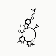 Cc1cc2cc(n1)-c1cnn(C)c1OCCCC(C1CC1)CN1/C(=N/C2=O)Nc2ccc(OCCN(C)C)cc21